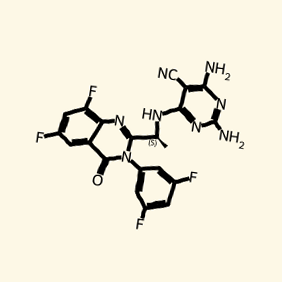 C[C@H](Nc1nc(N)nc(N)c1C#N)c1nc2c(F)cc(F)cc2c(=O)n1-c1cc(F)cc(F)c1